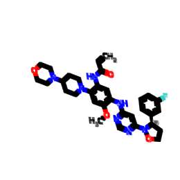 C=CC(=O)Nc1cc(Nc2cc(N3OCC[C@@H]3c3cccc(F)c3)ncn2)c(OC)cc1N1CCC(N2CCOCC2)CC1